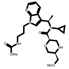 COC[C@H]1CO[C@@H](C(=O)N(C2CC2)[C@H](C)c2cn(CCCNC(=O)OC)c3ncccc23)CN1